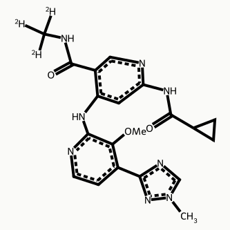 [2H]C([2H])([2H])NC(=O)c1cnc(NC(=O)C2CC2)cc1Nc1nccc(-c2ncn(C)n2)c1OC